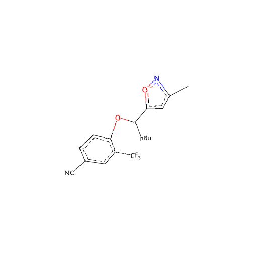 CCCCC(Oc1ccc(C#N)cc1C(F)(F)F)c1cc(C)no1